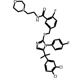 CC(C)(c1ccc(Cl)c(Cl)c1)c1cnc(SCc2ccc(F)c(C(=O)NCCN3CCOCC3)c2)n1-c1ccc(F)cc1